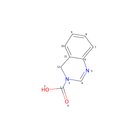 O=C(O)N1C=Nc2ccccc2C1